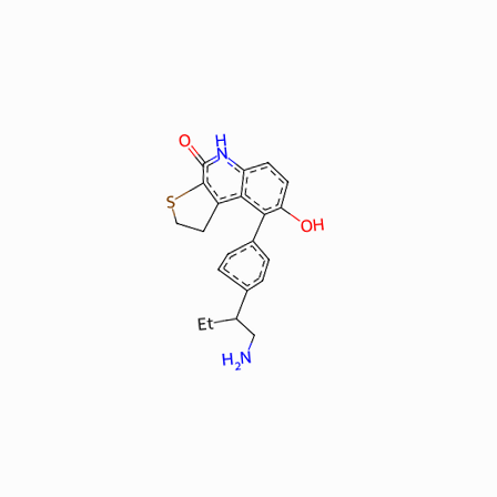 CCC(CN)c1ccc(-c2c(O)ccc3[nH]c(=O)c4c(c23)CCS4)cc1